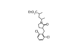 CCOC(=O)C(C)CC(C)N1CCC(Cc2c(Cl)cccc2Cl)C1=O